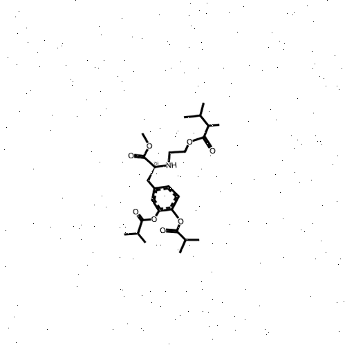 COC(=O)[C@H](Cc1ccc(OC(=O)C(C)C)c(OC(=O)C(C)C)c1)NCCOC(=O)C(C)C(C)C